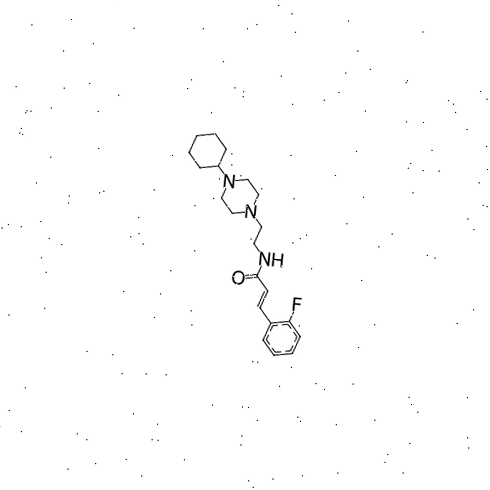 O=C(C=Cc1ccccc1F)NCCN1CCN(C2CCCCC2)CC1